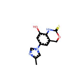 Cc1cn(-c2cc(O)c3c(c2)COC(=S)N3)cn1